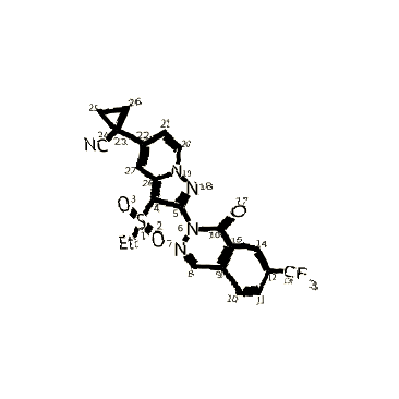 CCS(=O)(=O)c1c(-n2ncc3ccc(C(F)(F)F)cc3c2=O)nn2ccc(C3(C#N)CC3)cc12